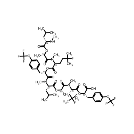 CN[C@@H](CC(C)C)C(=O)O[C@@H](C)C(=O)N(C)[C@@H](CCC(C)(C)F)C(=O)O[C@@H](Cc1ccc(OC(F)(F)F)cc1)C(=O)N(C)[C@@H](CC(C)C)C(=O)O[C@@H](C)C(=O)N(C)[C@@H](CC(C)(C)F)C(=O)O[C@@H](Cc1ccc(OC(F)(F)F)cc1)C(=O)O